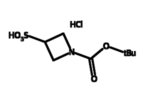 CC(C)(C)OC(=O)N1CC(S(=O)(=O)O)C1.Cl